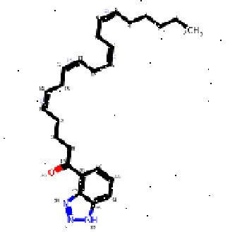 CCCCC/C=C\C/C=C\C/C=C\C/C=C\CCCC(=O)c1cccc2[nH]nnc12